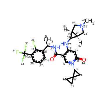 C[C@@H](NC(=O)c1cn([C@@H]2CC23CC3)c(=O)cc1NC1[C@H]2CN(C)C[C@@H]12)c1cccc(C(F)(F)F)c1F